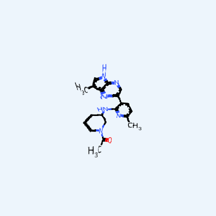 CC(=O)N1CCCC(Nc2nc(C)ccc2-c2cnc3[nH]cc(C)c3n2)C1